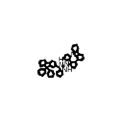 c1ccc(C2(c3ccccc3)c3ccccc3-c3ccc(C4NC(n5c6cccc7c8cccc9c%10ccccc%10n(c%10cccc5c%10c76)c89)Nc5ccccc54)cc32)cc1